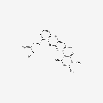 C=C(COc1ccccc1Oc1nc(-n2c(=O)cc(C(F)(F)F)n(C)c2=O)c(F)cc1CC)OCC